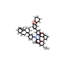 CC(C)(C)c1cc(-c2cccc3cccc(-c4ccccc4N(c4cccc(C5=C6C=Cc7ccccc7C6(C)CC=C5)c4)c4cccc(-c5ccc6oc7ccccc7c6c5)c4)c23)cc(C(C)(C)C)c1